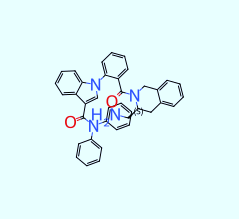 NC[C@@H]1Cc2ccccc2CN1C(=O)c1ccccc1-n1cc(C(=O)N(c2ccccc2)c2ccccc2)c2ccccc21